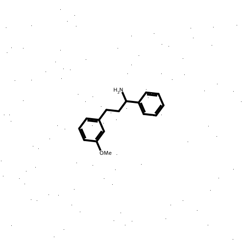 COc1cccc(CCC(N)c2ccccc2)c1